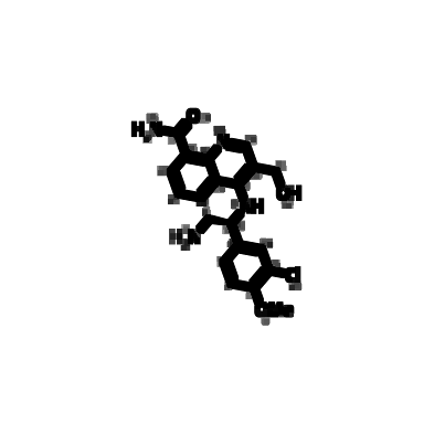 COc1ccc([C@@H](CN)Nc2c(CO)cnc3c(C(N)=O)cccc23)cc1Cl